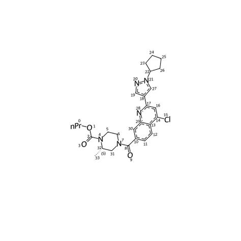 CCCOC(=O)N1CCN(C(=O)c2ccc3c(Cl)cc(-c4cnn(C5CCCC5)c4)nc3c2)C[C@@H]1C